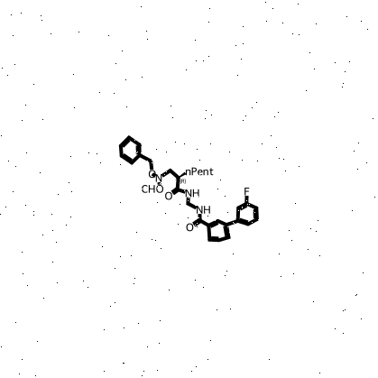 CCCCC[C@H](CN(C=O)OCc1ccccc1)C(=O)NCNC(=O)c1cccc(-c2cccc(F)c2)c1